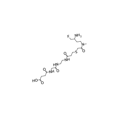 CN(CCC(N)CF)C(=O)CSCCC(=O)NCCNC(=O)CNC(=O)CCC(=O)O